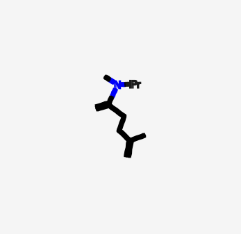 C=C(C)CCC(=C)N(C)C(C)C